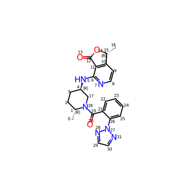 C[C@@H]1CC[C@@H](Nc2nccc3c2C(=O)O[C@@H]3C)CN1C(=O)c1ccccc1-n1nccn1